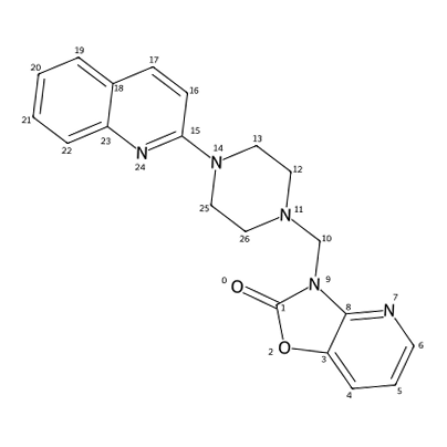 O=c1oc2cccnc2n1CN1CCN(c2ccc3ccccc3n2)CC1